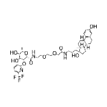 C[C@H]1O[C@H](C(=O)NCCOCCOCC(=O)NCCC[C@]2(O)CC[C@H]3[C@@H]4CCc5cc(O)ccc5[C@H]4CC[C@@]32C)[C@H](Oc2cccc(C(F)(F)F)n2)[C@@H](O)[C@H]1O